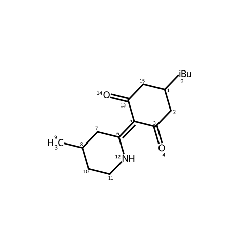 CCC(C)C1CC(=O)C(=C2CC(C)CCN2)C(=O)C1